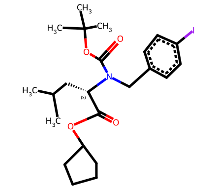 CC(C)C[C@@H](C(=O)OC1CCCC1)N(Cc1ccc(I)cc1)C(=O)OC(C)(C)C